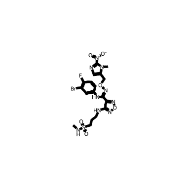 CNS(=O)(=O)CCCNc1nonc1/C(=N/OCc1cnc([N+](=O)[O-])n1C)Nc1ccc(F)c(Br)c1